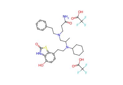 CC(CN(CCC(N)=O)CCc1ccccc1)N(CCc1ccc(O)c2[nH]c(=O)sc12)C1CCCCC1.O=C(O)C(F)(F)F.O=C(O)C(F)(F)F